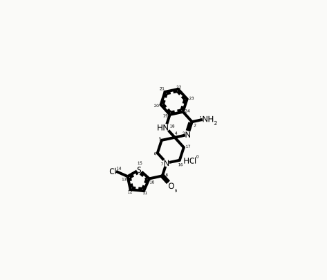 Cl.NC1=NC2(CCN(C(=O)c3ccc(Cl)s3)CC2)Nc2ccccc21